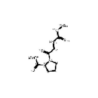 COC(=O)[C@@H]1CCCN1C(=O)CNC(=O)OC(C)(C)C